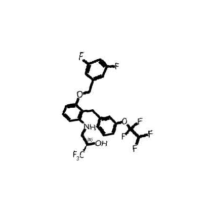 O[C@H](CNc1cccc(OCc2cc(F)cc(F)c2)c1Cc1cccc(OC(F)(F)C(F)F)c1)C(F)(F)F